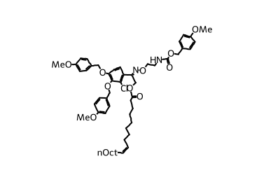 CCCCCCCC/C=C\CCCCCCCC(=O)OC/C(=N\OCCNC(=O)OCc1ccc(OC)cc1)c1ccc(OCc2ccc(OC)cc2)c(OCc2ccc(OC)cc2)c1Cl